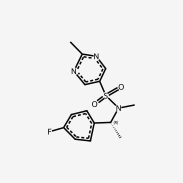 Cc1ncc(S(=O)(=O)N(C)[C@H](C)c2ccc(F)cc2)cn1